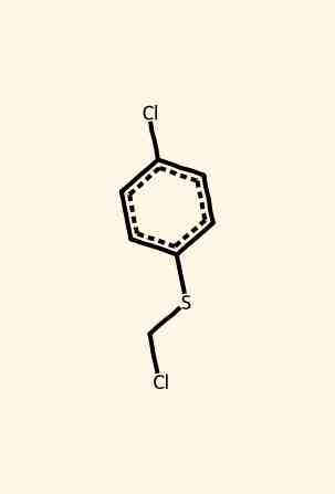 ClCSc1ccc(Cl)cc1